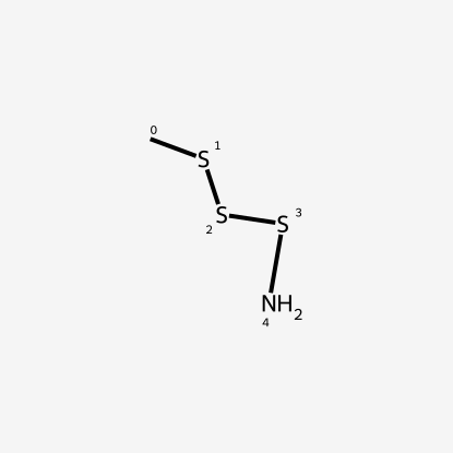 CSSSN